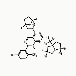 [2H]C1([2H])CC[C@@]2(C([2H])([2H])Oc3nc(N4C[C@H]5CC[C@@H](C4)N5)c4cnc(-c5cc(O)ccc5C(F)(F)F)c(F)c4n3)C[C@@]([2H])(F)CN12